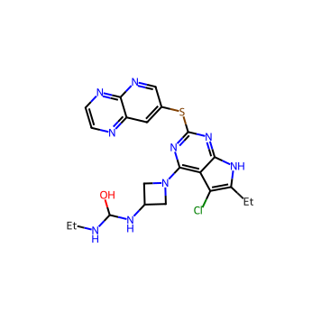 CCNC(O)NC1CN(c2nc(Sc3cnc4nccnc4c3)nc3[nH]c(CC)c(Cl)c23)C1